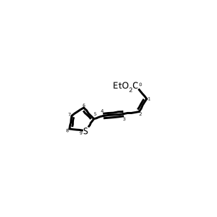 CCOC(=O)/C=C\C#Cc1cccs1